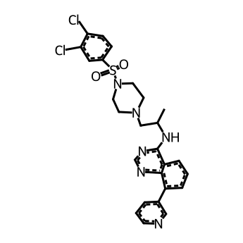 CC(CN1CCN(S(=O)(=O)c2ccc(Cl)c(Cl)c2)CC1)Nc1ncnc2c(-c3cccnc3)cccc12